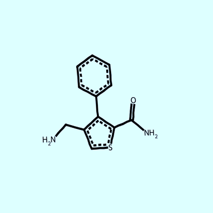 NCc1csc(C(N)=O)c1-c1ccccc1